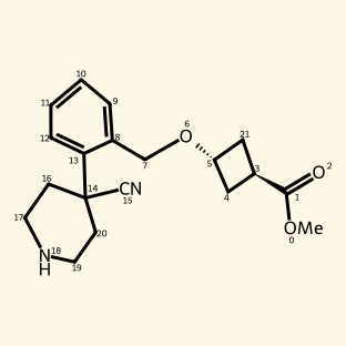 COC(=O)[C@H]1C[C@H](OCc2ccccc2C2(C#N)CCNCC2)C1